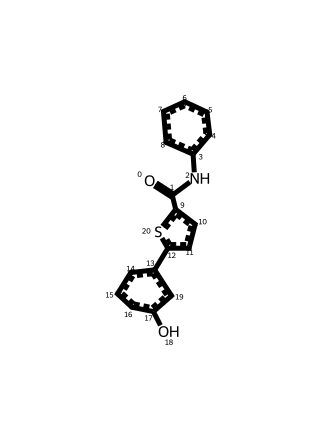 O=C(Nc1ccccc1)c1ccc(-c2cccc(O)c2)s1